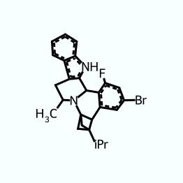 CC1Cc2c([nH]c3ccccc23)C2c3c(F)cc(Br)cc3C3C4(C(C)C)CC3(C4)N12